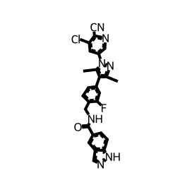 Cc1nn(-c2cnc(C#N)c(Cl)c2)c(C)c1-c1ccc(CNC(=O)c2ccc3[nH]ncc3c2)c(F)c1